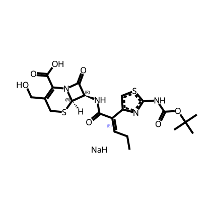 CC/C=C(/C(=O)N[C@@H]1C(=O)N2C(C(=O)O)=C(CO)CS[C@H]12)c1csc(NC(=O)OC(C)(C)C)n1.[NaH]